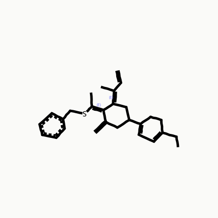 C=C/C(C)=C1\CC(C2=CC=C(CC)CC2)CC(=C)\C1=C(\C)SCc1ccccc1